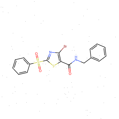 O=C(NCc1ccccc1)c1sc(S(=O)(=O)c2ccccc2)nc1Br